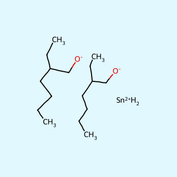 CCCCC(CC)C[O-].CCCCC(CC)C[O-].[SnH2+2]